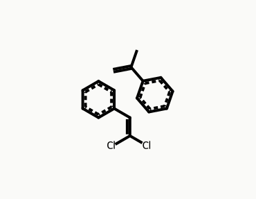 C=C(C)c1ccccc1.ClC(Cl)=Cc1ccccc1